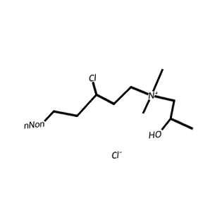 CCCCCCCCCCCC(Cl)CC[N+](C)(C)CC(C)O.[Cl-]